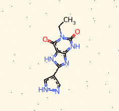 CCn1c(=O)[nH]c2nc(-c3cn[nH]c3)[nH]c2c1=O